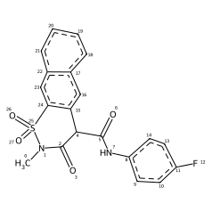 CN1C(=O)C(C(=O)Nc2ccc(F)cc2)c2cc3ccccc3cc2S1(=O)=O